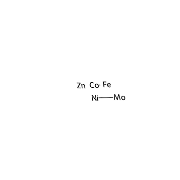 [Co].[Fe].[Ni][Mo].[Zn]